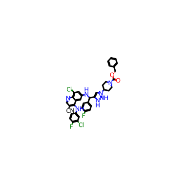 N#Cc1cnc2c(Cl)cc(NC(C3=CN(C4CCN(C(=O)OCc5ccccc5)CC4)NN3)c3ccc(F)cc3)cc2c1Nc1ccc(F)c(Cl)c1